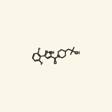 CC(C)(O)CC1CCN(C(=O)c2cc(-c3c(F)cccc3F)n[nH]2)CC1